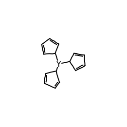 C1=C[CH]([Y]([CH]2C=CC=C2)[CH]2C=CC=C2)C=C1